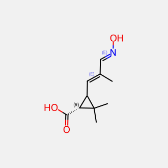 CC(/C=N/O)=C\C1[C@@H](C(=O)O)C1(C)C